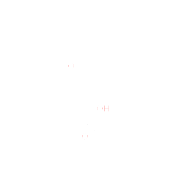 OC(CC1CO1)c1ccc(Oc2ccccc2)cc1